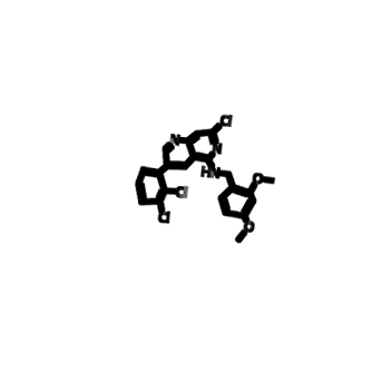 COc1ccc(CNc2nc(Cl)cc3ncc(-c4cccc(Cl)c4Cl)cc23)c(OC)c1